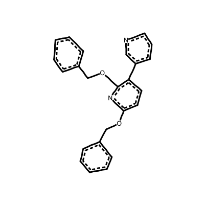 c1ccc(COc2ccc(-c3cccnc3)c(OCc3ccccc3)n2)cc1